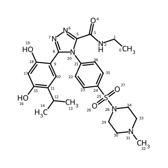 CCNC(=O)c1nnc(-c2cc(C(C)C)c(O)cc2O)n1-c1ccc(S(=O)(=O)N2CCN(C)CC2)cc1